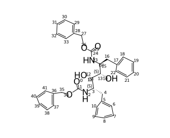 O=C(N[C@@H](Cc1ccccc1)[C@H](O)[C@@H](O)[C@H](Cc1ccccc1)NC(=O)OCc1ccccc1)OCc1ccccc1